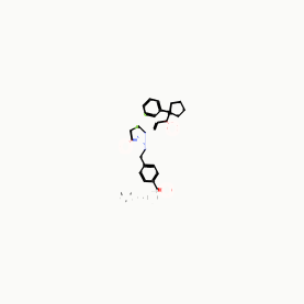 COC(=O)c1ccc(CCN2C(=O)CC[C@@H]2C=CC(=O)C2(c3cccc(F)c3)CCCC2)cc1